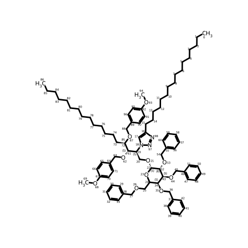 CCCCCCCCCCCCCCCCc1cn([C@@H](CO[C@H]2OC(COCc3ccccc3)[C@H](OCc3ccccc3)[C@H](OCc3ccccc3)[C@H]2OCc2ccccc2)[C@H](OCc2ccc(OC)cc2)[C@@H](CCCCCCCCCCCCCC)OCc2ccc(OC)cc2)nn1